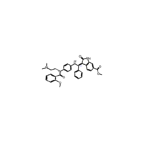 COC(=O)c1ccc2c(c1)NC(=O)/C2=C(\Nc1ccc(N(CCN(C)C)C(=O)c2ccccc2OC)cc1)c1ccccc1